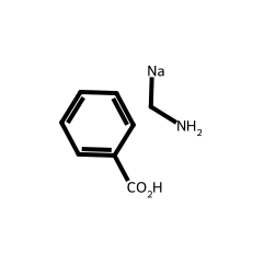 N[CH2][Na].O=C(O)c1ccccc1